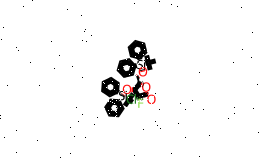 CC(C)(C)[Si](OC[C@H]1OC(=O)[C@](F)(Cl)C1O[Si](c1ccccc1)(c1ccccc1)C(C)(C)C)(c1ccccc1)c1ccccc1